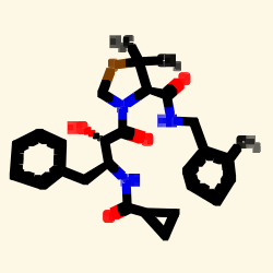 Cc1ccccc1CNC(=O)[C@H]1N(C(=O)[C@@H](O)[C@H](Cc2ccccc2)NC(=O)C2CC2)CSC1(C)C